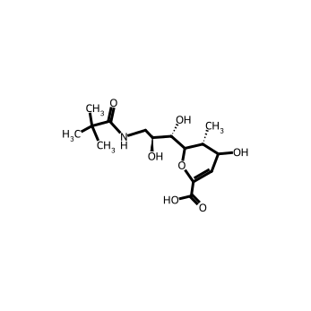 C[C@@H]1C(O)C=C(C(=O)O)OC1[C@@H](O)[C@@H](O)CNC(=O)C(C)(C)C